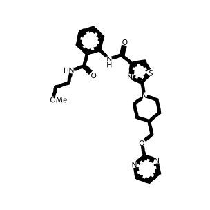 COCCNC(=O)c1ccccc1NC(=O)c1csc(N2CCC(COc3ncccn3)CC2)n1